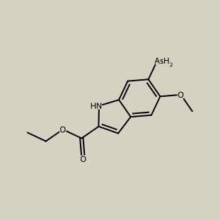 CCOC(=O)c1cc2cc(OC)c([AsH2])cc2[nH]1